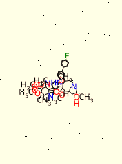 CC[C@]1(O)C[C@H]2CN(CCc3c([nH]c4ccc(-c5ccc(F)cc5)cc34)[C@@](C(=O)OC)(c3cc4c(cc3OC)N(C)[C@H]3[C@@](O)(C(=O)OC)[C@H](OC(C)=O)[C@]5(CC)C=CCN6CC[C@]43[C@@H]65)C2)C1